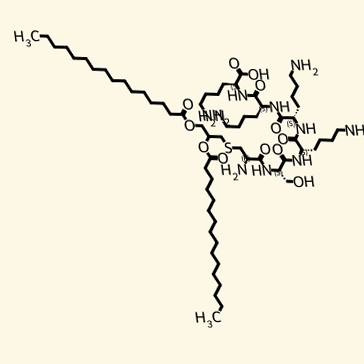 CCCCCCCCCCCCCCCC(=O)OCC(CSC[C@H](N)C(=O)N[C@@H](CO)C(=O)N[C@@H](CCCCN)C(=O)N[C@@H](CCCCN)C(=O)N[C@@H](CCCCN)C(=O)N[C@@H](CCCCN)C(=O)O)OC(=O)CCCCCCCCCCCCCCC